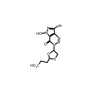 CCCc1nn(O)c2c(=O)n(C3CSC(CCC(=O)O)O3)nnc12